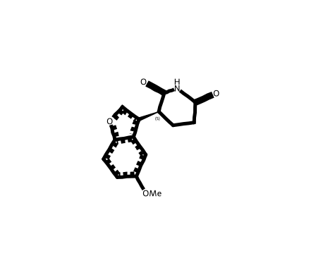 COc1ccc2occ([C@@H]3CCC(=O)NC3=O)c2c1